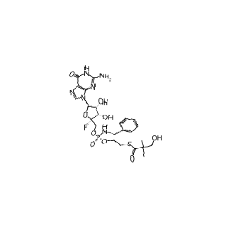 CC(C)(CO)C(=O)SCCOP(=O)(NCc1ccccc1)OC[C@@]1(F)O[C@@H](n2cnc3c(=O)[nH]c(N)nc32)[C@H](O)[C@@H]1O